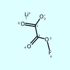 O=C([O-])C(=O)OF.[Li+]